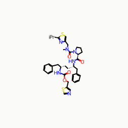 CC(C)c1nc(CN(C)C(=O)N2CCC[C@H]2C(=O)N[C@@H](CC[C@@H](Cc2ccccc2)NC(=O)OCc2cncs2)Cc2ccccc2)cs1